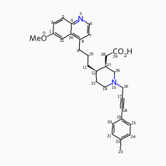 COc1ccc2nccc(CCC[C@@H]3CCN(CC#Cc4ccc(C)cc4)C[C@@H]3CC(=O)O)c2c1